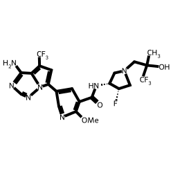 COc1ncc(-c2cc(C(F)(F)F)c3c(N)ncnn23)cc1C(=O)N[C@@H]1CN(CC(C)(O)C(F)(F)F)C[C@@H]1F